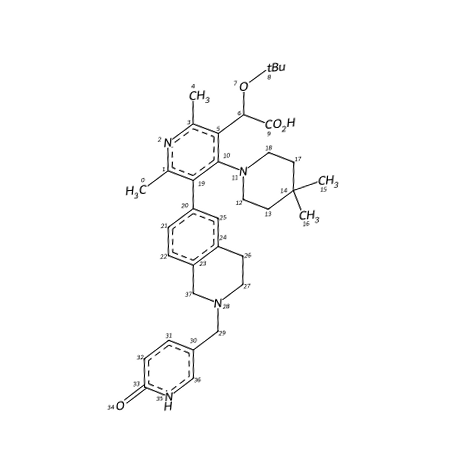 Cc1nc(C)c(C(OC(C)(C)C)C(=O)O)c(N2CCC(C)(C)CC2)c1-c1ccc2c(c1)CCN(Cc1ccc(=O)[nH]c1)C2